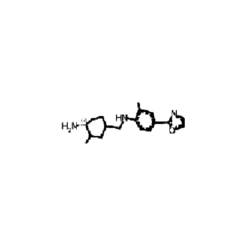 Cc1cc(-c2ncco2)ccc1NCC1CC[C@@H](N)C(C)C1